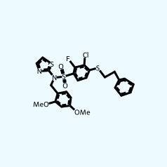 COc1ccc(CN(c2nccs2)S(=O)(=O)c2ccc(SCCc3ccccc3)c(Cl)c2F)c(OC)c1